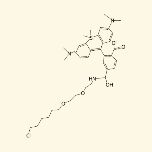 CN(C)c1ccc2c(c1)[Si](C)(C)C1=CC(=[N+](C)C)C=CC1=C2c1cc(C(O)NCCOCCOCCCCCCCl)ccc1C(=O)[O-]